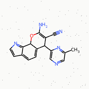 Cc1cncc(C2C3=CC=C4C=CN=C4C3OC(N)=C2C#N)n1